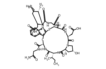 CCC(C)[C@H]1NC(=O)[C@@H]2C[C@@H](O)CN2C(=O)[C@H](CC(=O)O)NC(=O)[C@@H]2CSc3[nH]c4ccc(cc4c3C[C@H](C(=O)NCC(N)=O)NC1=O)NC(=O)CC(CCS)[C@@H]([C@@H](C)CC)C(=O)NCC(=O)N2